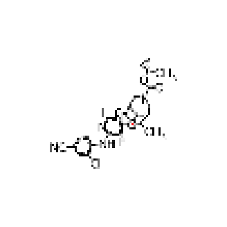 CC1OC(C)C2CN(C(=O)OC3(C)CC3)CC1C2Oc1ncnc(Nc2ccc(C#N)cc2Cl)c1F